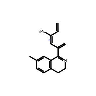 C=C/C(=C\C(=C)C1=NCCc2ccc(C)cc21)C(C)C